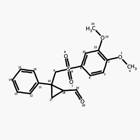 COc1ccc(S(=O)(=O)CC2(c3ccccc3)CC2C=O)cc1OC